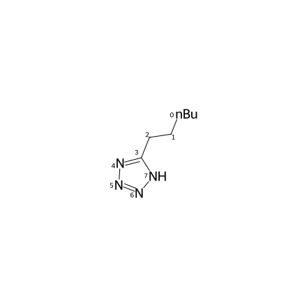 CCCCCCc1nnn[nH]1